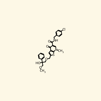 COCC(O)(COCc1cc2c(=O)c(C(=O)NCc3ccc(Cl)cc3)cn(C)c2s1)c1ccccc1